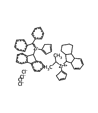 C1=CC[C]([Zr](=[C](c2ccccc2)c2ccccc2)[CH]2c3ccccc3-c3ccccc32)=C1.C[CH](C)[Zr+4]([C]1=CC=CC1)[CH]1C2C=CC=CC2C2CCCCC21.[Cl-].[Cl-].[Cl-].[Cl-]